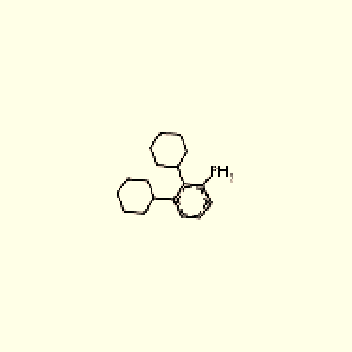 Pc1cccc(C2CCCCC2)c1C1CCCCC1